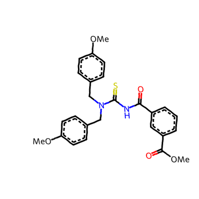 COC(=O)c1cccc(C(=O)NC(=S)N(Cc2ccc(OC)cc2)Cc2ccc(OC)cc2)c1